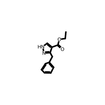 CCOC(=O)c1c[nH]nc1Cc1ccccc1